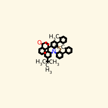 Cc1ccccc1-c1cccc2c1Sc1c(-c3ccccc3C)ccc3c1N2c1cc(C(C)(C)C)ccc1C31c2ccccc2C(=O)c2ccccc21